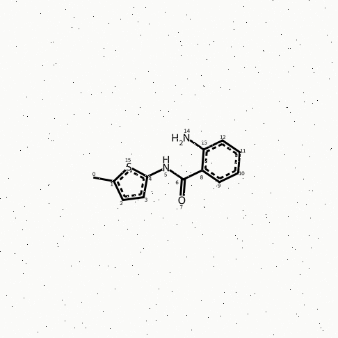 Cc1ccc(NC(=O)c2ccccc2N)s1